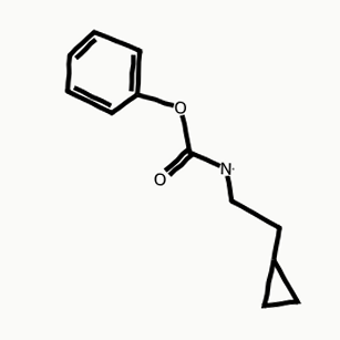 O=C([N]CCC1CC1)Oc1ccccc1